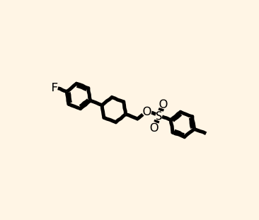 Cc1ccc(S(=O)(=O)OCC2CCC(c3ccc(F)cc3)CC2)cc1